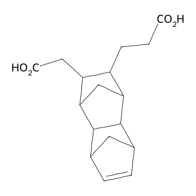 O=C(O)CCC1C(CC(=O)O)C2CC1C1C3C=CC(C3)C21